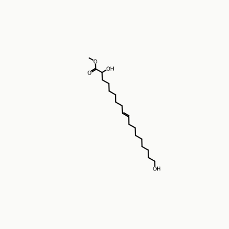 COC(=O)C(O)CCCCCCC=CCCCCCCCCO